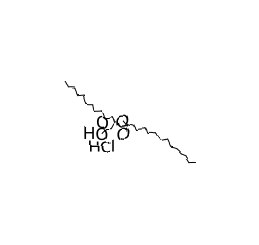 CCCCCCCCCCCCCC(=O)OC(CCCCCCCCCCC)CC(=O)O.Cl